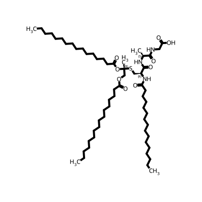 CCCCCCCCCCCCCCCC(=O)N[C@@H](CS[C@](C)(COC(=O)CCCCCCCCCCCCCCC)OC(=O)CCCCCCCCCCCCCCC)C(=O)N[C@@H](C)C(=O)NCC(=O)O